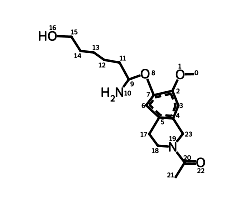 COc1cc2c(cc1OC(N)CCCCCO)CCN(C(C)=O)C2